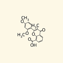 COc1ccc(-c2oc3c(C(=O)O)cccc3c(=O)c2C)c(OC)c1